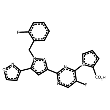 O=C(O)c1cccn1-c1nc(-c2cc(-c3ccon3)n(Cc3ccccc3F)n2)ncc1F